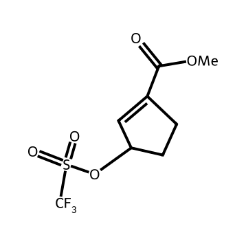 COC(=O)C1=CC(OS(=O)(=O)C(F)(F)F)CC1